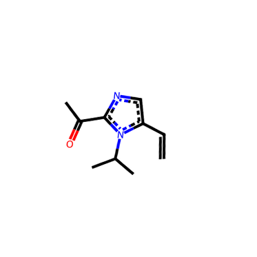 C=Cc1cnc(C(C)=O)n1C(C)C